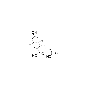 O=C(O)[C@@H]1C[C@H]2C[C@@H](O)C[C@H]2[C@@H]1CCCB(O)O